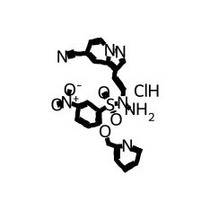 Cl.N#Cc1ccn2ncc(C=CN(N)S(=O)(=O)c3cc([N+](=O)[O-])ccc3OCc3ccccn3)c2c1